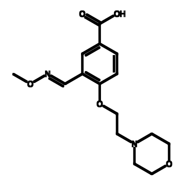 CO/N=C/c1cc(C(=O)O)ccc1OCCN1CCOCC1